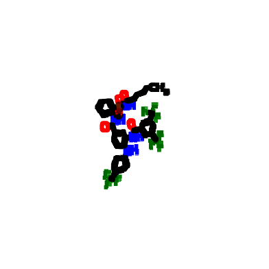 CCCCCC(=O)NS(=O)(=O)c1ccccc1NC(=O)c1ccc(Nc2ccc(C(F)(F)F)cc2)c(NC(=O)c2cc(C(F)(F)F)cc(C(F)(F)F)c2)c1